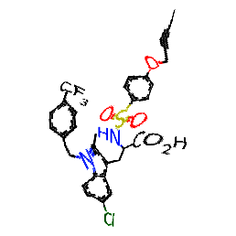 CC#CCOc1ccc(S(=O)(=O)NC(Cc2c(C)n(Cc3ccc(C(F)(F)F)cc3)c3ccc(Cl)cc23)C(=O)O)cc1